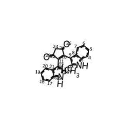 Cc1[nH]c2ccccc2c1C1=C(c2c(C)[nH]c3ccccc23)C(=O)CC1=O